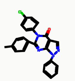 Cc1ccc(-c2nc3c(cnn3-c3ccccc3)c(=O)n2-c2ccc(Cl)cc2)cc1